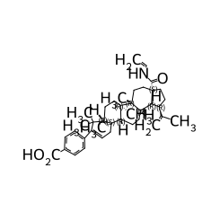 C=CNC(=O)[C@]12CC[C@@H](C(=C)C)[C@@H]1[C@H]1CC[C@@H]3[C@@]4(C)CC=C(c5ccc(C(=O)O)cc5)C(C)(C)[C@@H]4CC[C@@]3(C)[C@]1(C)CC2